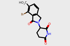 O=C1CCC(N2Cc3ccc(C(=O)O)c(Br)c3C2=O)C(=O)N1